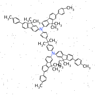 Cc1ccc(-c2ccc3c(c2)C(C)(C)c2cc(N(c4ccc(C(C)(C)c5ccc(N(c6ccc7c(c6)C(C)(C)c6cc(-c8ccc(C)cc8)ccc6-7)c6ccc7c(c6)C(C)(C)c6cc(-c8ccc(C)cc8)ccc6-7)cc5)cc4)c4ccc5c(c4)C(C)(C)c4cc(-c6ccc(C)cc6)ccc4-5)ccc2-3)cc1